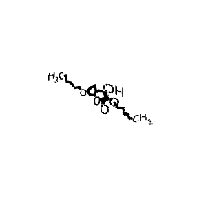 CCC=CCCOc1ccc2c(O)c(OCCC=CCC)c(=O)oc2c1